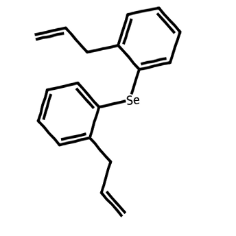 C=CCc1ccccc1[Se]c1ccccc1CC=C